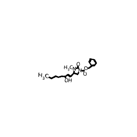 CCCCCC(O)/C=C/C1CN(C(=O)OCc2ccccc2)C(=O)N1C